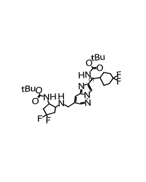 CC(C)(C)OC(=O)NC1CC(F)(F)CC1NCc1cnn2cc([C@@H](NC(=O)OC(C)(C)C)C3CCC(F)(F)CC3)nc2c1